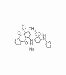 Cc1cc(Nc2ccc(Nc3ccccc3)c(S(=O)(=O)O)c2)c2c(c1N)C(=O)c1ccccc1C2=O.[Na]